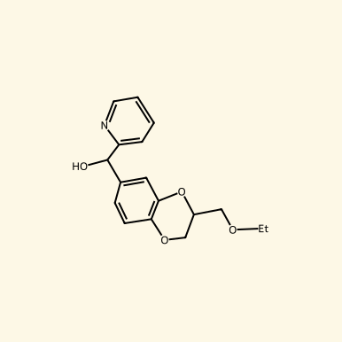 CCOCC1COc2ccc(C(O)c3ccccn3)cc2O1